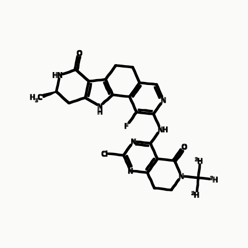 [2H]C([2H])([2H])N1CCc2nc(Cl)nc(Nc3ncc4c(c3F)-c3[nH]c5c(c3CC4)C(=O)N[C@H](C)C5)c2C1=O